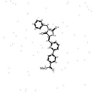 COC(=O)c1ccc(-c2cccc(/C=C3\SC(=S)N(Cc4ccccc4)C3=O)n2)cc1